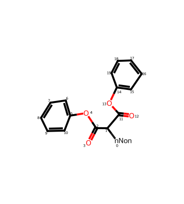 CCCCCCCCCC(C(=O)Oc1ccccc1)C(=O)Oc1ccccc1